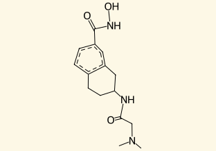 CN(C)CC(=O)NC1CCc2ccc(C(=O)NO)cc2C1